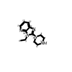 CCn1c(N2CCNCC2)nc2cccnc21